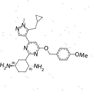 COc1ccc(COc2cc(-c3cnn(C)c3CC3CC3)nc(C3C[C@H](N)CC[C@H]3N)n2)cc1